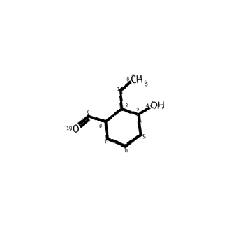 CCC1C(O)CCCC1C=O